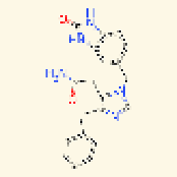 NC(=O)Cc1c(Cc2ccccc2)ncn1Cc1ccc2[nH]c(=O)[nH]c2c1